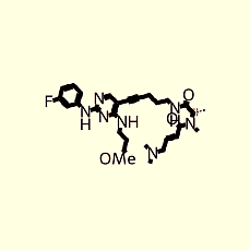 COCCCNc1nc(Nc2cccc(F)c2)ncc1C#CCCCNC(=O)[C@H](C)N(C)C(=O)C=CCN(C)C